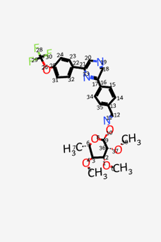 CO[C@@H]1[C@@H](OC)[C@H](C)O[C@@H](O/N=C/c2ccc(-c3cncc(-c4ccc(OC(F)(F)F)cc4)n3)cc2)[C@@H]1OC